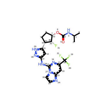 CC(C)NC(=O)O[C@H]1CC[C@@H](c2cc(Nc3nc(C(F)(F)F)cc4nccn34)n[nH]2)[C@H]1F